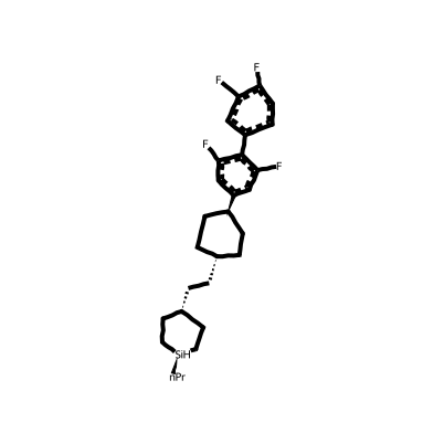 CCC[Si@H]1CC[C@H](CC[C@H]2CC[C@H](c3cc(F)c(-c4ccc(F)c(F)c4)c(F)c3)CC2)CC1